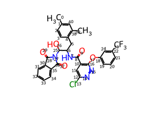 Cc1ccc(CC(NC(=O)c2cc(Cl)nnc2Oc2cccc(C(F)(F)F)c2)C(O)N2C(=O)c3ccccc3C2=O)c(C)c1